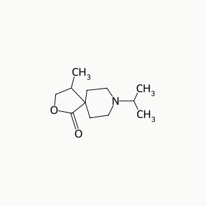 CC(C)N1CCC2(CC1)C(=O)OCC2C